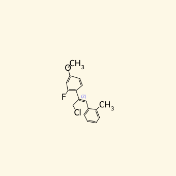 COc1ccc(/C(=C/c2ccccc2C)CCl)c(F)c1